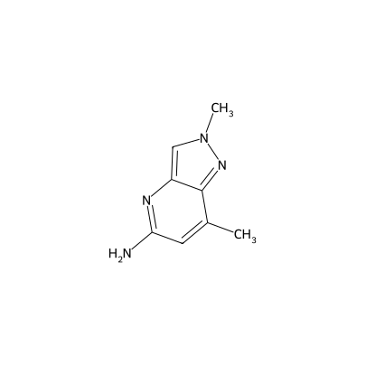 Cc1cc(N)nc2cn(C)nc12